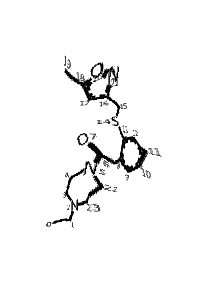 CCN1CCN(C(=O)c2ccccc2SCc2cc(C)on2)CC1